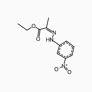 CCOC(=O)/C(C)=N\Nc1cccc([N+](=O)[O-])c1